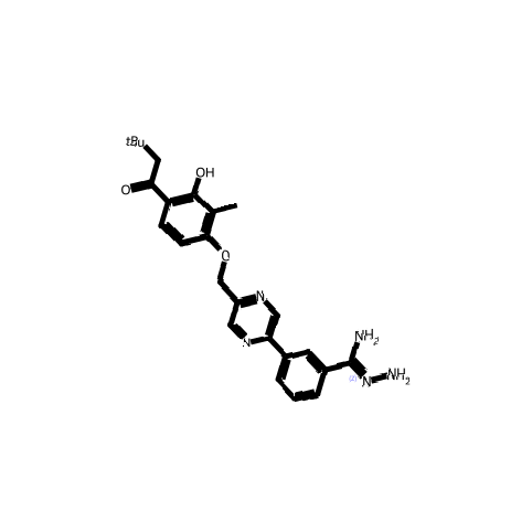 Cc1c(OCc2cnc(-c3cccc(/C(N)=N/N)c3)cn2)ccc(C(=O)CC(C)(C)C)c1O